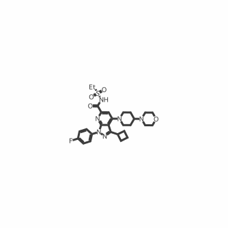 CCS(=O)(=O)NC(=O)c1cc(N2CCC(N3CCOCC3)CC2)c2c(C3CCC3)nn(-c3ccc(F)cc3)c2n1